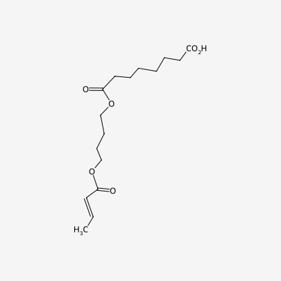 CC=CC(=O)OCCCCOC(=O)CCCCCCC(=O)O